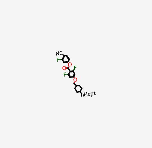 CCCCCCCC1CCC(COc2cc(F)c(C(=O)Oc3ccc(C#N)c(F)c3)c(F)c2)CC1